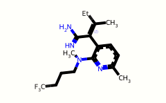 CC/C(C)=C(\C(=N)N)c1ccc(C)nc1N(C)CCCC(F)(F)F